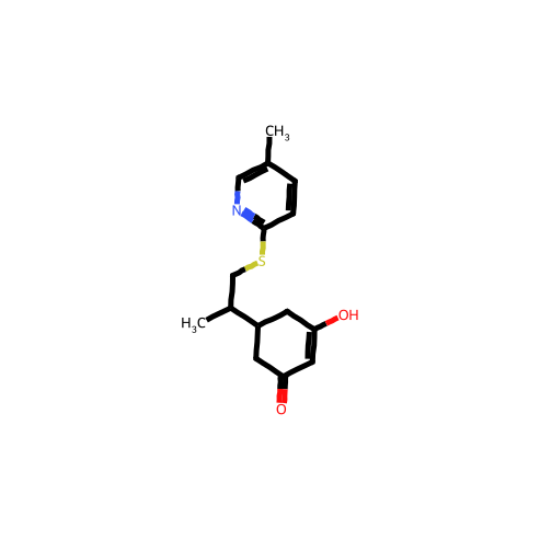 Cc1ccc(SCC(C)C2CC(=O)C=C(O)C2)nc1